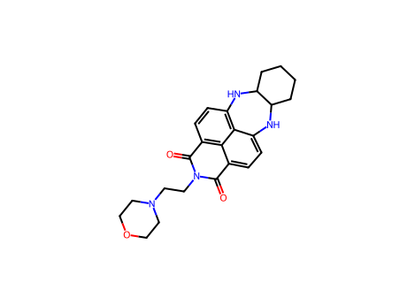 O=C1c2ccc3c4c(ccc(c24)C(=O)N1CCN1CCOCC1)NC1CCCCC1N3